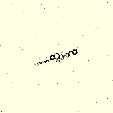 CN1C(=O)[C@@H](NC(=O)n2cc(Cc3cccc(F)c3)cn2)COc2ccc(OCCOCCO)cc21